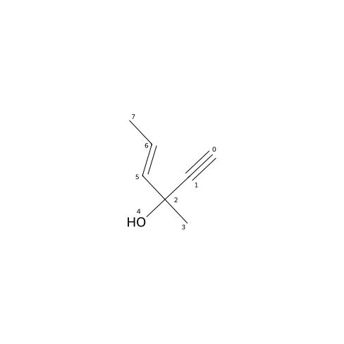 C#CC(C)(O)/C=C/C